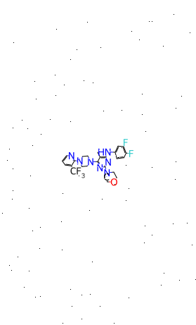 Cc1c(Nc2ccc(F)c(F)c2)nc(N2CCOCC2)nc1N1CCN(c2ncccc2C(F)(F)F)CC1